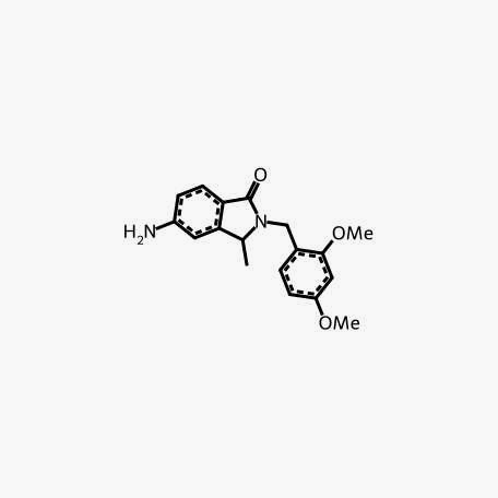 COc1ccc(CN2C(=O)c3ccc(N)cc3C2C)c(OC)c1